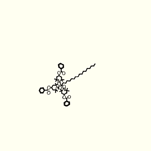 CCCCCCCCCCCCCCCCCC(ON1C(C)(C)CC(OC(=O)c2ccccc2)CC1(C)C)(ON1C(C)(C)CC(OC(=O)c2ccccc2)CC1(C)C)ON1C(C)(C)CC(OC(=O)c2ccccc2)CC1(C)C